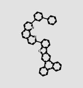 c1ccc(-c2cccc(-c3ccc4ccc5ccc(-c6cccc7c6oc6cc8c9ccccc9c9ccccc9c8cc67)nc5c4n3)c2)cc1